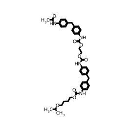 CC(=O)Nc1ccc(Cc2ccc(NC(=O)OCCOC(=O)Nc3ccc(Cc4ccc(NC(=O)OCCCCOC(C)C)cc4)cc3)cc2)cc1